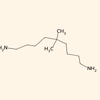 CC(C)(CCCCN)CCCCN